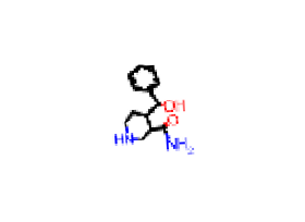 NC(=O)C1CNCCC1C(O)c1ccccc1